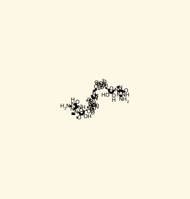 C=CN(c1nc(N)[nH]c(=O)c1NC)[C@@H]1O[C@H](COP(=O)(OC)OP(=O)(OC)OP(=O)(OC)c2cn(CCOP(=O)(OC)OP(=O)(OC)OC[C@H]3O[C@@H](n4cnc5c(=O)[nH]c(N)nc54)C(O)C3O)nn2)C(O)C1OC